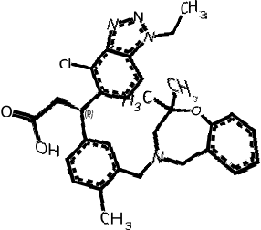 CCn1nnc2c(Cl)c([C@H](CC(=O)O)c3ccc(C)c(CN4Cc5ccccc5OC(C)(C)C4)c3)ccc21